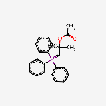 CC(=O)OC(C)(C)C=P(c1ccccc1)(c1ccccc1)c1ccccc1